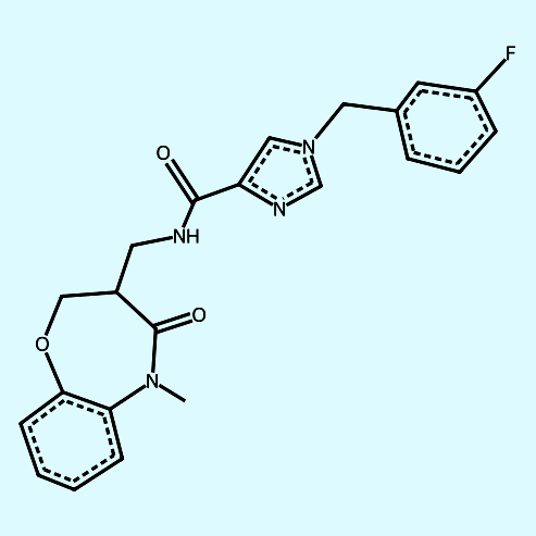 CN1C(=O)C(CNC(=O)c2cn(Cc3cccc(F)c3)cn2)COc2ccccc21